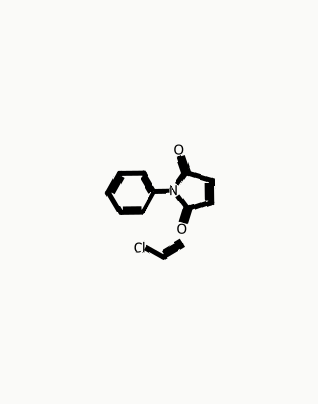 C=CCl.O=C1C=CC(=O)N1c1ccccc1